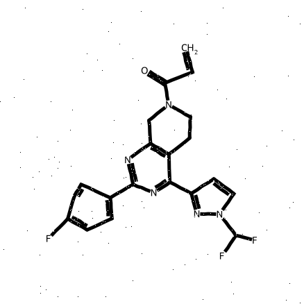 C=CC(=O)N1CCc2c(nc(-c3ccc(F)cc3)nc2-c2ccn(C(F)F)n2)C1